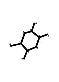 CC1[CH]C(C)C(C)[CH]C1C